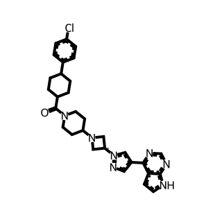 O=C(C1CCC(c2ccc(Cl)cc2)CC1)N1CCC(N2C[C](n3cc(-c4ncnc5[nH]ccc45)cn3)C2)CC1